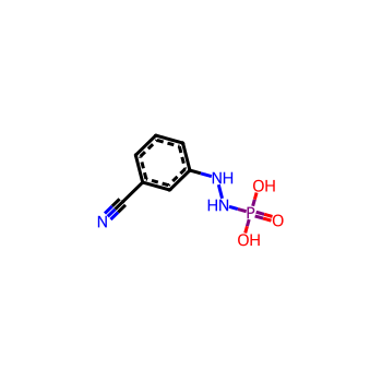 N#Cc1cccc(NNP(=O)(O)O)c1